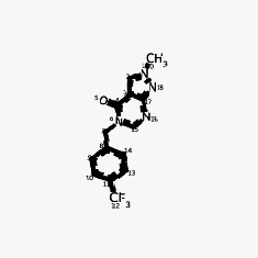 Cn1cc2c(=O)n(Cc3ccc(C(F)(F)F)cc3)cnc2n1